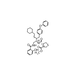 COC(=O)N1CSC[C@H]1C(=O)NC(CNC(=O)c1ccccc1O)C(Cc1ccc(Oc2ccccc2)cc1)SCC1CCCCC1